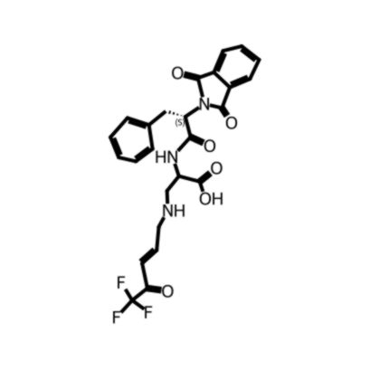 O=C(O)C(CNCC=CC(=O)C(F)(F)F)NC(=O)[C@H](Cc1ccccc1)N1C(=O)c2ccccc2C1=O